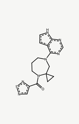 O=C(c1cnsn1)N1CCCN(c2ncnc3[nH]ccc23)CC12CC2